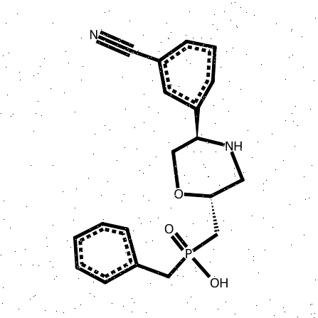 N#Cc1cccc([C@@H]2CO[C@@H](CP(=O)(O)Cc3ccccc3)CN2)c1